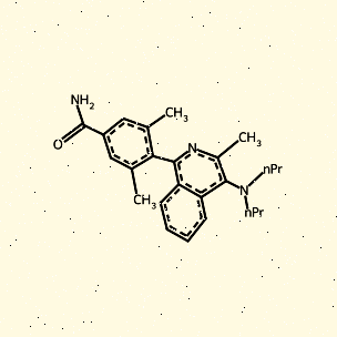 CCCN(CCC)c1c(C)nc(-c2c(C)cc(C(N)=O)cc2C)c2ccccc12